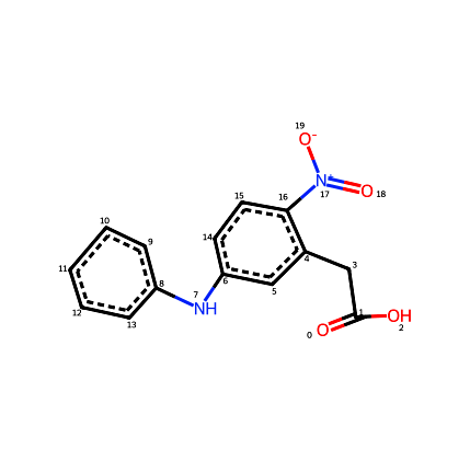 O=C(O)Cc1cc(Nc2ccccc2)ccc1[N+](=O)[O-]